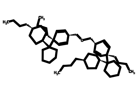 CCCC[C@H]1CC[C@H](C2([C@]3(CCCC)C=C[C@@H](COC[C@H]4C=C[C@](CCCC)(C5([C@H]6CC[C@H](CCCC)CC6)CCCCC5)C=C4)C=C3)CCCCC2)CC1